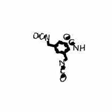 N=C=O.O=C=NCc1cccc(CN=C=O)c1